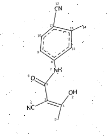 CC(O)=C(C#N)C(=O)Nc1ccc(C#N)c(C)c1